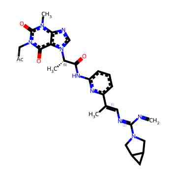 C=N/C(=N\C=C(/C)c1cccc(NC(=O)[C@H](C)n2cnc3c2c(=O)n(CC(C)=O)c(=O)n3C)n1)N1CC2CC2C1